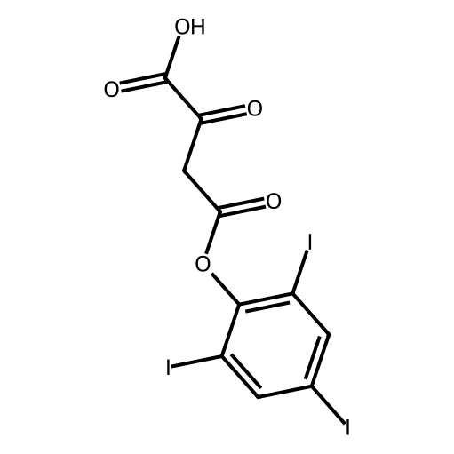 O=C(CC(=O)C(=O)O)Oc1c(I)cc(I)cc1I